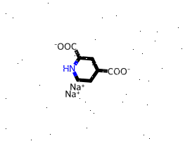 O=C([O-])C1CCNC(C(=O)[O-])C1.[Na+].[Na+]